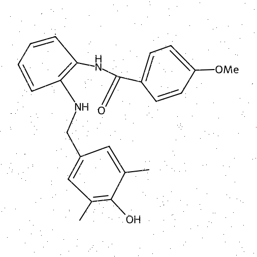 COc1ccc(C(=O)Nc2[c]cccc2NCc2cc(C)c(O)c(C)c2)cc1